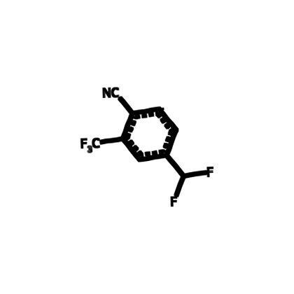 N#Cc1[c]cc(C(F)F)cc1C(F)(F)F